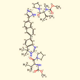 COC(=O)N[C@H](C(=O)N1CCC[C@H]1C1=Nc2cc(-c3ccc4cc(-c5cnc([C@@H]6CCCN6C(=O)[C@H](C(C)C)N(C)C(=O)OC)[nH]5)ccc4c3)ccc2C(C)(C)N1)C(C)C